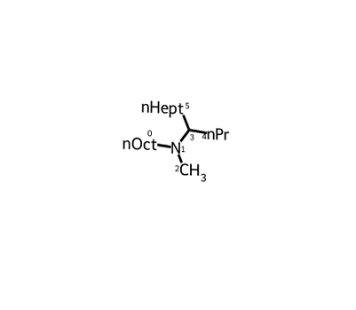 CCCCCCCCN(C)C(CCC)CCCCCCC